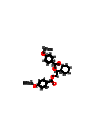 CCCCCCOc1ccc(C(=O)OCC(OC(=O)c2ccc(OCCCCCC)cc2)C2CCCCC2)cc1